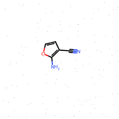 N#Cc1ccoc1N